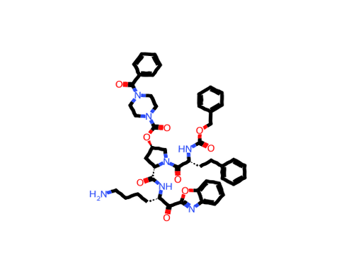 NCCCC[C@H](NC(=O)[C@@H]1C[C@@H](OC(=O)N2CCN(C(=O)c3ccccc3)CC2)CN1C(=O)[C@@H](CCc1ccccc1)NC(=O)OCc1ccccc1)C(=O)c1nc2ccccc2o1